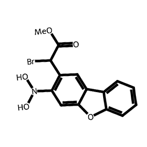 COC(=O)C(Br)c1cc2c(cc1N(O)O)oc1ccccc12